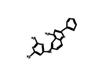 Nc1nc(Nc2ccc3nc(-c4ccccc4)cc(N)c3c2)cc(C(F)(F)F)n1